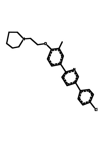 Cc1cc(-c2ccc(-c3ccc(Cl)cc3)cn2)ccc1OCCN1CCCCC1